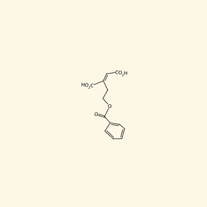 O=C(O)/C=C(\CCOC(=O)c1ccccc1)C(=O)O